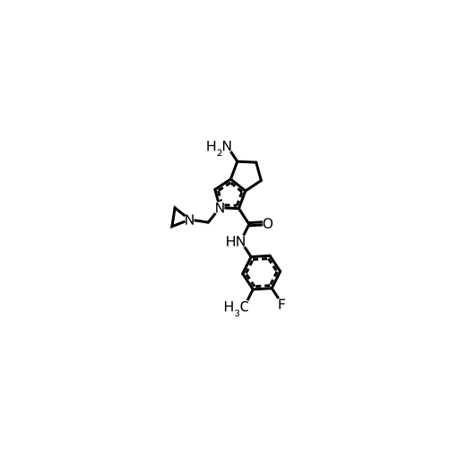 Cc1cc(NC(=O)c2c3c(cn2CN2CC2)C(N)CC3)ccc1F